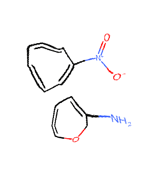 Nc1ccco1.O=[N+]([O-])c1ccccc1